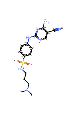 CN(C)CCCNS(=O)(=O)c1ccc(Nc2ncc(C#N)c(N)n2)cc1